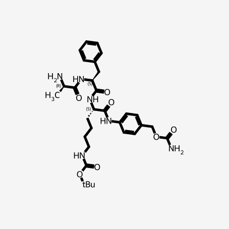 C[C@@H](N)C(=O)N[C@@H](Cc1ccccc1)C(=O)N[C@@H](CCCCNC(=O)OC(C)(C)C)C(=O)Nc1ccc(COC(N)=O)cc1